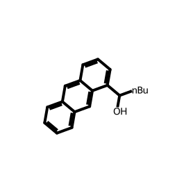 CCCCC(O)c1cccc2cc3ccccc3cc12